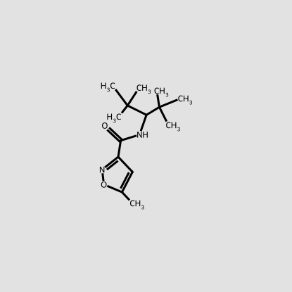 Cc1cc(C(=O)NC(C(C)(C)C)C(C)(C)C)no1